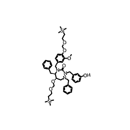 COc1cc(CN2C(=O)N(Cc3cccc(O)c3)N(Cc3ccccc3)C[C@@H](OCOCC[Si](C)(C)C)[C@H]2Cc2ccccc2)ccc1OCOCC[Si](C)(C)C